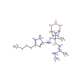 CCCCc1cc(NCC(C)(O/N=C(/C)NC)N2C3CCC2COC3)[nH]n1